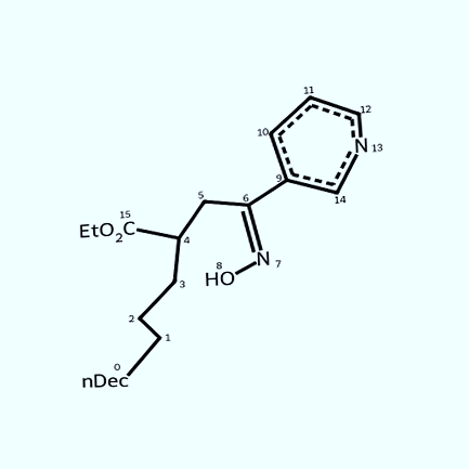 CCCCCCCCCCCCCC(CC(=NO)c1cccnc1)C(=O)OCC